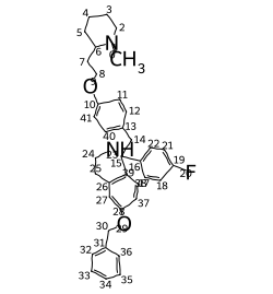 CN1CCCCC1CCOc1ccc(CC2(c3ccc(F)cc3)NCCc3cc(OCc4ccccc4)ccc32)cc1